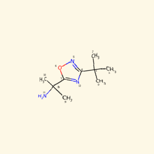 CC(C)(C)c1noc(C(C)(C)N)n1